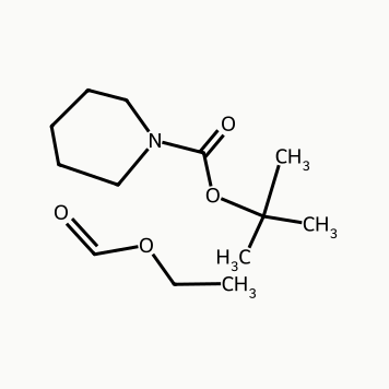 CC(C)(C)OC(=O)N1CCCCC1.CCOC=O